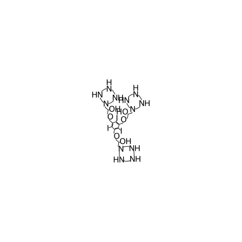 OC(COCc1c(I)c(COCC(O)CN2CCNCCNCCNCC2)c(I)c(COCC(O)CN2CCNCCNCCNCC2)c1I)CN1CCNCCNCCNCC1